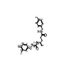 C=C(CCC(=O)NCc1ccc(C)cc1)NC(=O)COc1ccc(C)c(C)c1